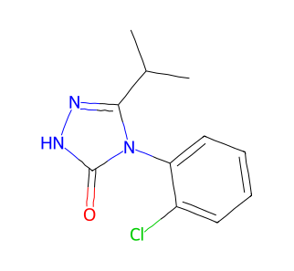 CC(C)c1n[nH]c(=O)n1-c1ccccc1Cl